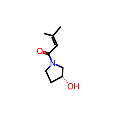 CC(C)=CC(=O)N1CC[C@@H](O)C1